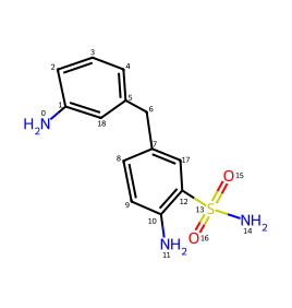 Nc1cccc(Cc2ccc(N)c(S(N)(=O)=O)c2)c1